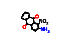 Nc1ccc2c(c1[N+](=O)[O-])C(=O)c1ccccc1C2=O